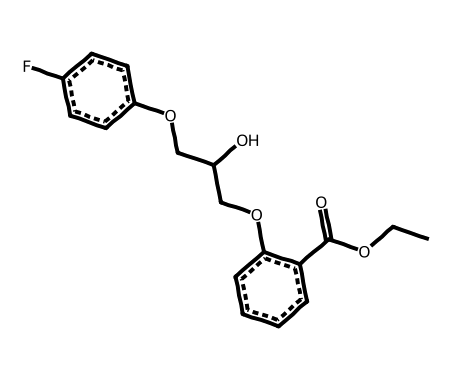 CCOC(=O)c1ccccc1OCC(O)COc1ccc(F)cc1